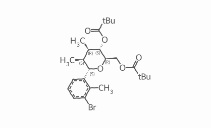 Cc1c(Br)cccc1[C@H]1O[C@H](COC(=O)C(C)(C)C)[C@@H](OC(=O)C(C)(C)C)[C@H](C)[C@@H]1C